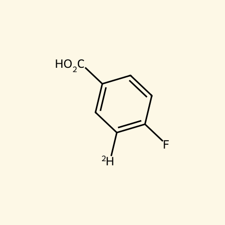 [2H]c1cc(C(=O)O)ccc1F